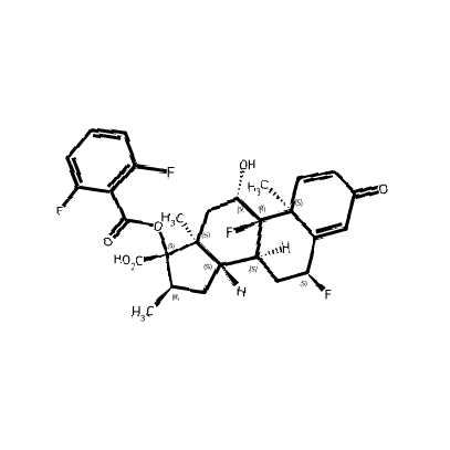 C[C@@H]1C[C@H]2[C@@H]3C[C@H](F)C4=CC(=O)C=C[C@]4(C)[C@@]3(F)[C@@H](O)C[C@]2(C)[C@]1(OC(=O)c1c(F)cccc1F)C(=O)O